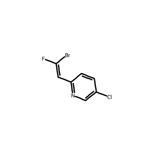 FC(Br)=Cc1ccc(Cl)cn1